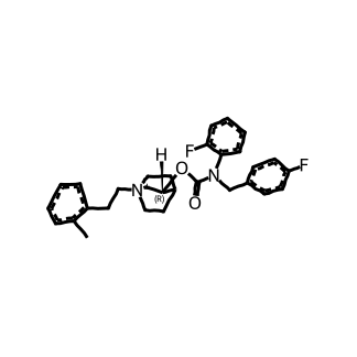 Cc1ccccc1CC[N+]12CCC(CC1)[C@@H](OC(=O)N(Cc1ccc(F)cc1)c1ccccc1F)C2